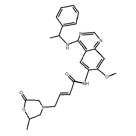 COc1cc2ncnc(NC(C)c3ccccc3)c2cc1NC(=O)C=CCN1CC(=O)OC(C)C1